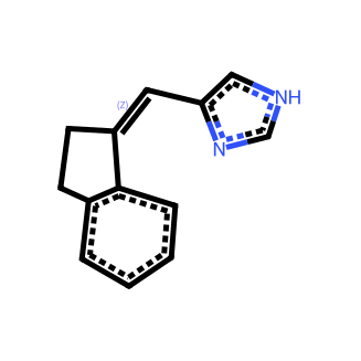 C(=C1\CCc2ccccc21)/c1c[nH]cn1